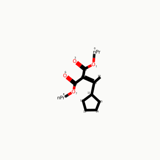 CCCOC(=O)C(C(=O)OCCC)=C(C)C1CCCC1